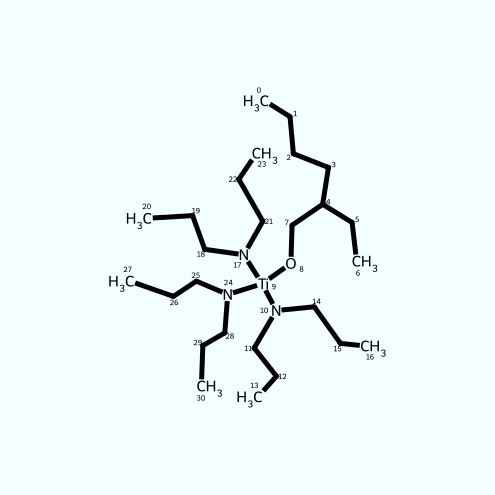 CCCCC(CC)C[O][Ti]([N](CCC)CCC)([N](CCC)CCC)[N](CCC)CCC